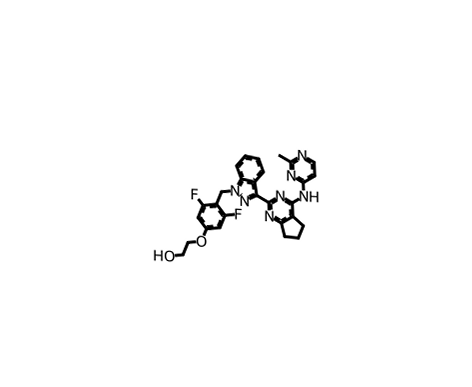 Cc1nccc(Nc2nc(-c3nn(Cc4c(F)cc(OCCO)cc4F)c4ccccc34)nc3c2CCC3)n1